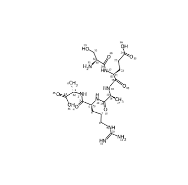 C[C@H](NC(=O)[C@H](CCCNC(=N)N)NC(=O)[C@H](C)NC(=O)[C@H](CCC(=O)O)NC(=O)[C@@H](N)CO)C(=O)O